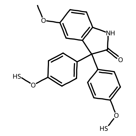 COc1ccc2c(c1)C(c1ccc(OS)cc1)(c1ccc(OS)cc1)C(=O)N2